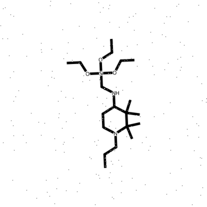 CCCN1CCC(NC[Si](OCC)(OCC)OCC)C(C)(C)C1(C)C